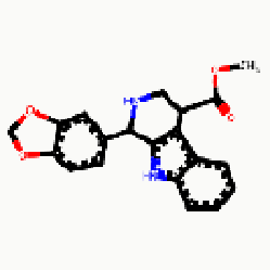 COC(=O)C1CNC(c2ccc3c(c2)OCO3)c2[nH]c3ccccc3c21